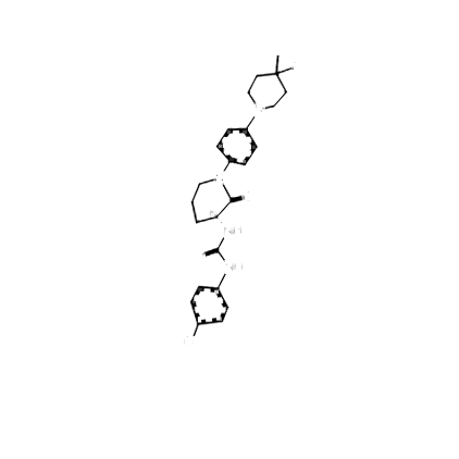 CC1(F)CCN(c2ccc(N3CCC[C@@H](NC(=O)Nc4ccc(Cl)cc4)C3=O)cc2)CC1